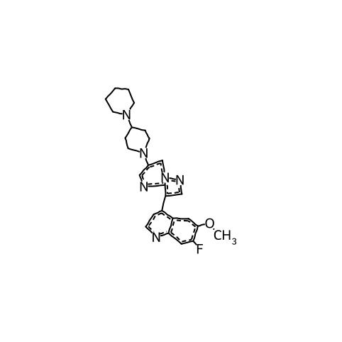 COc1cc2c(-c3cnn4cc(N5CCC(N6CCCCC6)CC5)cnc34)ccnc2cc1F